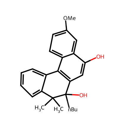 CCCCC1(O)c2cc(O)c3cc(OC)ccc3c2-c2ccccc2C1(C)C